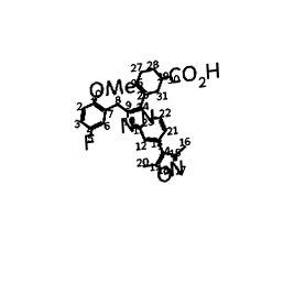 COc1ccc(F)cc1Cc1nc2cc(-c3c(C)noc3C)ccn2c1C1=CCCC(C(=O)O)C1